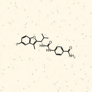 Cc1c([C@@H](NC(=O)Nc2ccc(C(N)=O)cc2)C(C)C)oc2ccc(F)cc12